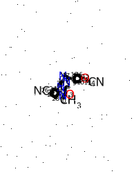 CN(C(=O)c1cn2c(-c3ccc(OCC#N)cc3)cnc2cn1)c1ccc(C#N)cc1